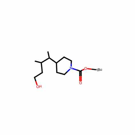 CC(CCO)C(C)C1CCN(C(=O)OC(C)(C)C)CC1